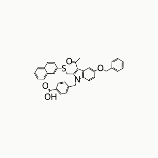 CC(=O)c1c(CSc2ccc3ccccc3c2)n(Cc2ccc(C(=O)O)cc2)c2ccc(OCc3ccccc3)cc12